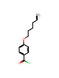 C=CCCCCOc1ccc(C(=O)Cl)cc1